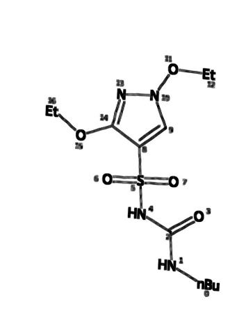 CCCCNC(=O)NS(=O)(=O)c1cn(OCC)nc1OCC